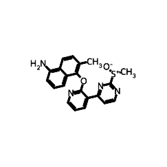 Cc1ccc2c(N)cccc2c1Oc1ncccc1-c1ccnc([S+](C)[O-])n1